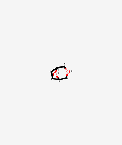 C1CC2COCC1O2